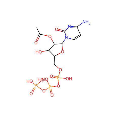 CC(=O)OC1C(O)C(COP(=O)(O)OP(=O)(O)OP(=O)(O)O)OC1n1ccc(N)nc1=O